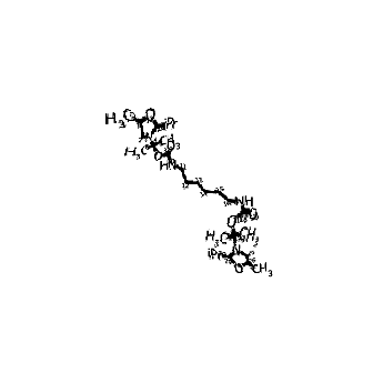 CC1CN(C(C)(C)OC(=O)NCCCCCCNC(=O)OC(C)(C)N2CC(C)OC2C(C)C)C(C(C)C)O1